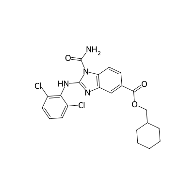 NC(=O)n1c(Nc2c(Cl)cccc2Cl)nc2cc(C(=O)OCC3CCCCC3)ccc21